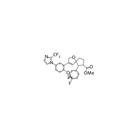 COC(=O)C1CCC2(C=C(c3cc(-n4ccnc4C(F)(F)F)ccc3OC(C)C)CO2)C1c1ccc(F)cc1